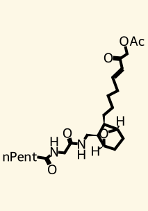 CCCCCC(=O)NCC(=O)NC[C@H]1[C@@H](CCCCC=CC(=O)COC(C)=O)[C@H]2CC[C@@H]1O2